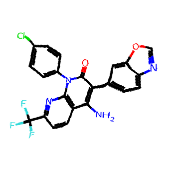 Nc1c(-c2ccc3ncoc3c2)c(=O)n(-c2ccc(Cl)cc2)c2nc(C(F)(F)F)ccc12